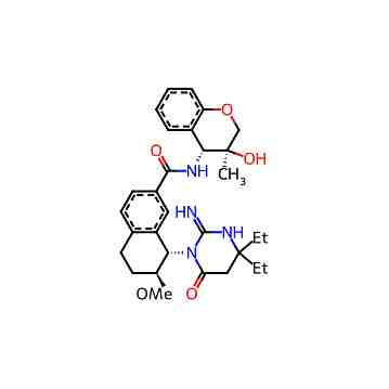 CCC1(CC)CC(=O)N([C@H]2c3cc(C(=O)N[C@@H]4c5ccccc5OC[C@@]4(C)O)ccc3CC[C@@H]2OC)C(=N)N1